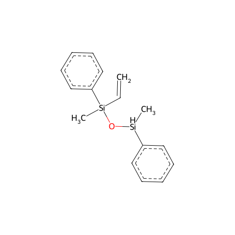 C=C[Si](C)(O[SiH](C)c1ccccc1)c1ccccc1